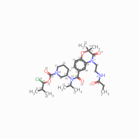 CCC(=O)NCCN1C(=O)C(C)(C)Oc2ccc(C(=O)N(C(C)C)[C@@H]3CCCN(C(=O)OC(Cl)C(C)C)C3)cc21